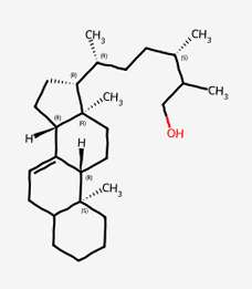 CC(CO)[C@@H](C)CC[C@@H](C)[C@H]1CC[C@H]2C3=CCC4CCCC[C@]4(C)[C@H]3CC[C@]12C